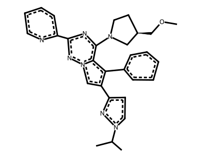 COC[C@@H]1CCN(c2nc(-c3ccccn3)nn3cc(-c4ccn(C(C)C)n4)c(-c4ccccc4)c23)C1